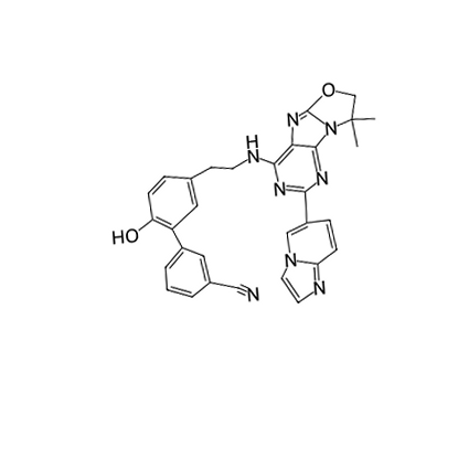 CC1(C)COc2nc3c(NCCc4ccc(O)c(-c5cccc(C#N)c5)c4)nc(-c4ccc5nccn5c4)nc3n21